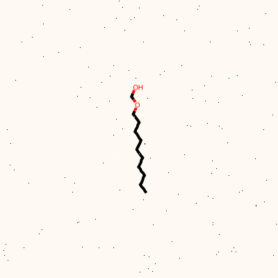 CCCCCCCCCCOCO